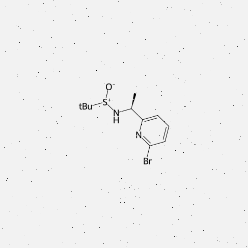 C[C@H](N[S+]([O-])C(C)(C)C)c1cccc(Br)n1